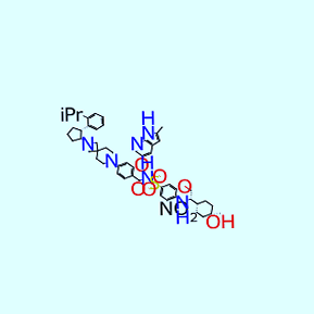 Cc1cc2cc(Oc3cc(N4CCC5(CC4)CN(C4CCC[C@@H]4c4ccccc4C(C)C)C5)ccc3C(=O)NS(=O)(=O)c3cc4c(c([N+](=O)[O-])c3)N[C@@H]([C@H]3CC[C@](C)(O)CC3)CO4)cnc2[nH]1